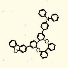 C1=CC2c3ccc(-c4ccc5oc6ccccc6c5c4)cc3Oc3ccccc3-c3ccccc3OC2C=C1C1C=CC(N(c2ccccc2)c2ccccc2)=CC1